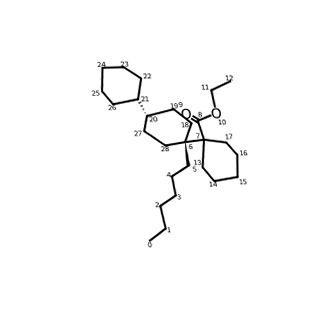 CCCCCC[C@]1(C2(C(=O)OCC)CCCCC2)CC[C@@H](C2CCCCC2)CC1